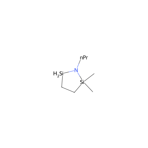 CCCN1[SiH2]CC[Si]1(C)C